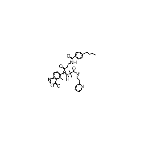 CCCCc1ccc(C(=O)NCCC(=O)N(NC(C)(C)C(=O)N(C)CCc2ccccn2)c2ccc3ncoc(=O)c3c2C)cc1